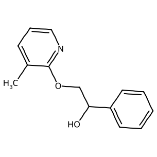 Cc1cccnc1OCC(O)c1ccccc1